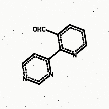 O=Cc1cccnc1-c1ccncn1